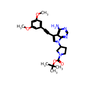 COc1cc(C#Cc2cn(C3CCN(C(=O)OC(C)(C)C)C3)c3ncnc(N)c23)cc(OC)c1